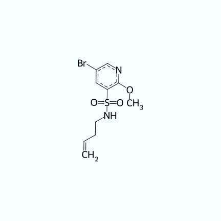 C=CCCNS(=O)(=O)c1cc(Br)cnc1OC